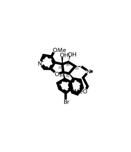 COCCN(C)C[C@H]1[C@@H](O)[C@@]2(O)c3c(OC)cncc3O[C@@]2(c2ccc(Br)cc2)[C@@H]1c1ccccc1